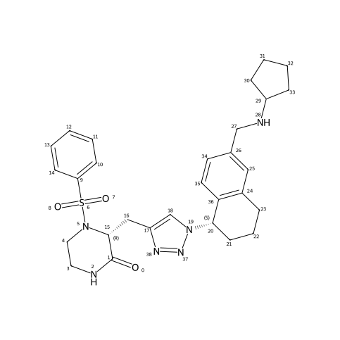 O=C1NCCN(S(=O)(=O)c2ccccc2)[C@@H]1Cc1cn([C@H]2CCCc3cc(CNC4CCCC4)ccc32)nn1